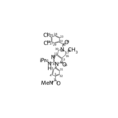 CNC(=O)c1ccc(-n2c(NC(C)C)nc3c(c2=O)C[C@@H](C)N(C(=O)c2ccc(Cl)c(Cl)c2)C3)cc1